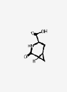 O=C(O)C1CC2C[C@@H]2C(=O)N1